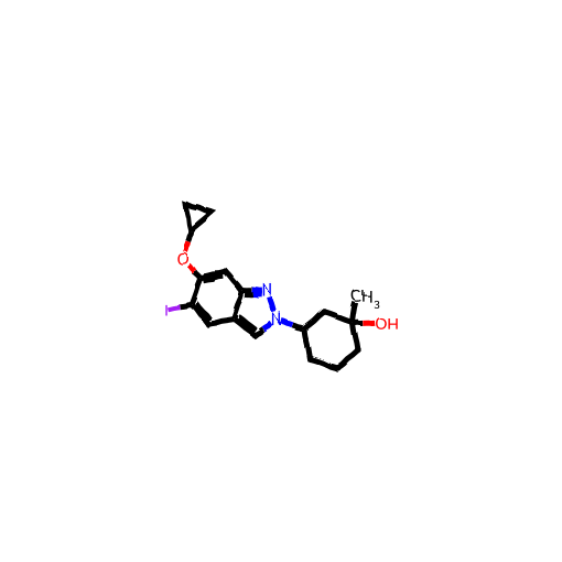 CC1(O)CCCC(n2cc3cc(I)c(OC4CC4)cc3n2)C1